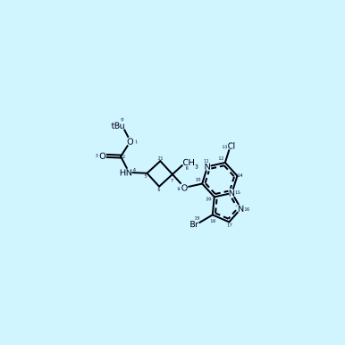 CC(C)(C)OC(=O)NC1CC(C)(Oc2nc(Cl)cn3ncc(Br)c23)C1